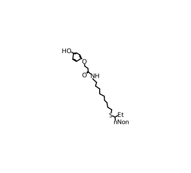 CCCCCCCCCC(CC)SCCCCCCCCCCNC(=O)CCOc1ccc(O)cc1